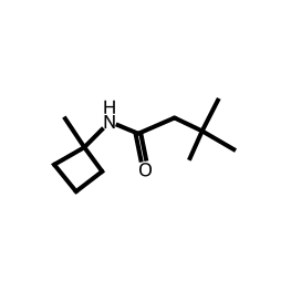 CC(C)(C)CC(=O)NC1(C)CCC1